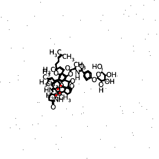 CC(C)=CCCC1(C)C=Cc2c(c(CC=C(C)C)c3c(c2OC(=O)C(C)NC(=O)c2ccc(O[C@@H]4O[C@H](CO)[C@@H](O)[C@H](O)[C@H]4O)cc2)C(=O)C2=CC4CC5C(C)(C)OC(C/C=C(/C)C(=O)NC6CCC(=O)NC6=O)(C4=O)C25O3)O1